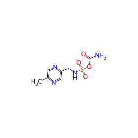 Cc1cnc(CNS(=O)(=O)OC(N)=O)cn1